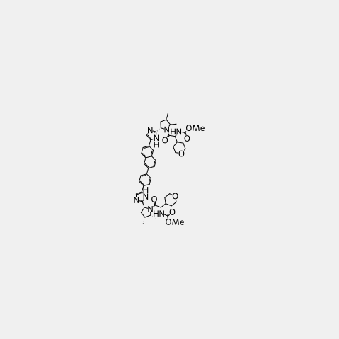 COC(=O)N[C@H](C(=O)N1[C@H](C)[C@H](C)C[C@H]1c1ncc(-c2ccc(-c3ccc4cc(-c5cnc([C@@H]6C[C@@H](C)[C@@H](C)N6C(=O)[C@@H](NC(=O)OC)C6CCOCC6)[nH]5)ccc4c3)cc2)[nH]1)C1CCOCC1